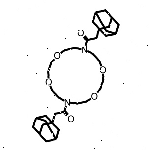 O=C(CC12CC3CC(CC(C3)C1)C2)N1CCOCCOCCN(C(=O)CC23CC4CC(CC(C4)C2)C3)CCOCCOCC1